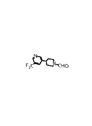 O=CN1CCC(c2cncc(C(F)(F)F)c2)CC1